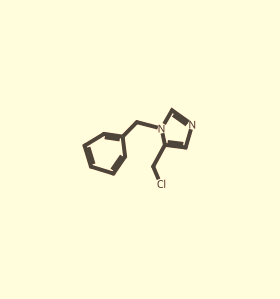 ClCc1cncn1Cc1ccccc1